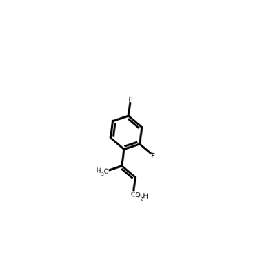 CC(=CC(=O)O)c1ccc(F)cc1F